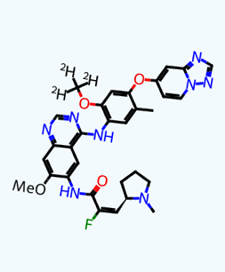 [2H]C([2H])([2H])Oc1cc(Oc2ccn3ncnc3c2)c(C)cc1Nc1ncnc2cc(OC)c(NC(=O)/C(F)=C\[C@H]3CCCN3C)cc12